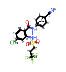 N#CC12CCC(NC(=O)c3ccc(Cl)cc3NS(=O)(=O)CCC(F)(F)F)(CC1)CC2